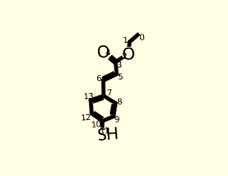 CCOC(=O)C=Cc1ccc(S)cc1